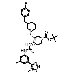 Cc1cc(NC(=O)N[C@@H]2CCN(C(=O)OC(C)(C)C)C[C@H]2CN2CCCC(Cc3ccc(F)cc3)C2)cc(-c2nnnn2C)c1